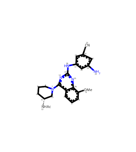 COc1cccc2c(N3CCC[C@@H](NC(C)=O)C3)nc(Nc3cc(N)cc(C#N)c3)nc12